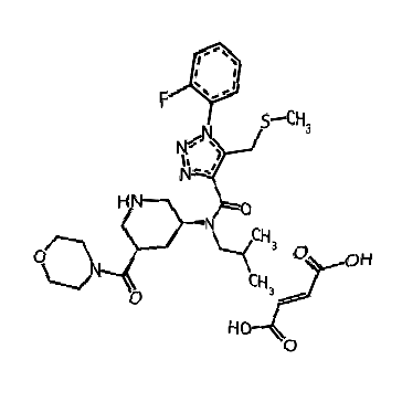 CSCc1c(C(=O)N(CC(C)C)[C@@H]2CNC[C@H](C(=O)N3CCOCC3)C2)nnn1-c1ccccc1F.O=C(O)/C=C/C(=O)O